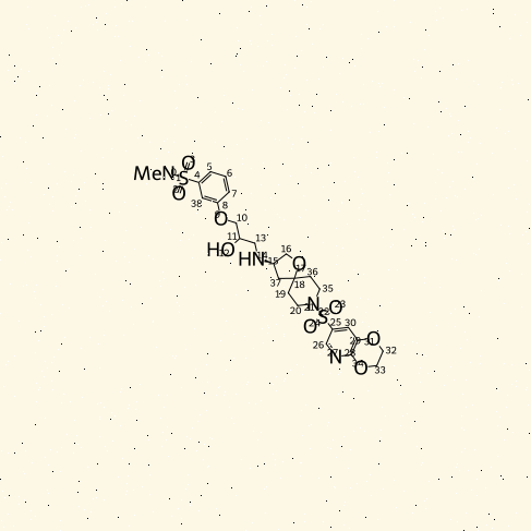 CNS(=O)(=O)c1cccc(OCC(O)CN[C@H]2COC3(CCN(S(=O)(=O)c4cnc5c(c4)OCCO5)CC3)C2)c1